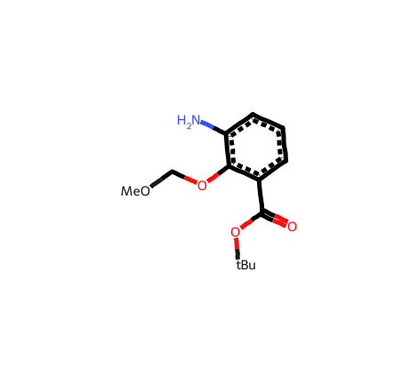 COCOc1c(N)cccc1C(=O)OC(C)(C)C